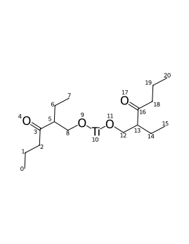 CCCC(=O)C(CC)C[O][Ti][O]CC(CC)C(=O)CCC